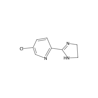 Clc1ccc(C2=NCCN2)nc1